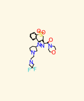 O=C(c1nn(C2CCCN(CCN3CC(F)(F)C3)C2)c2c1CS(=O)(=O)c1ccccc1-2)N1CCOCC1